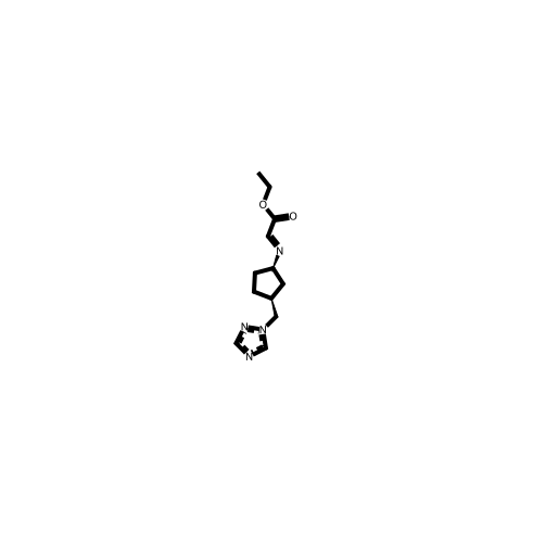 CCOC(=O)/C=N/[C@@H]1CC[C@H](Cn2cncn2)C1